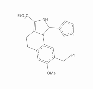 CCOC(=O)C1=C2CCc3cc(OC)c(CC(C)C)cc3N2C(c2ccsc2)N1